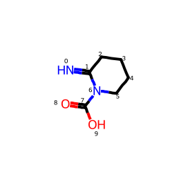 N=C1CCCCN1C(=O)O